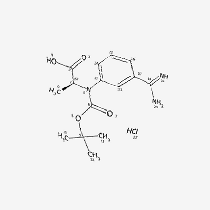 C[C@@H](C(=O)O)N(C(=O)OC(C)(C)C)c1cccc(C(=N)N)c1.Cl